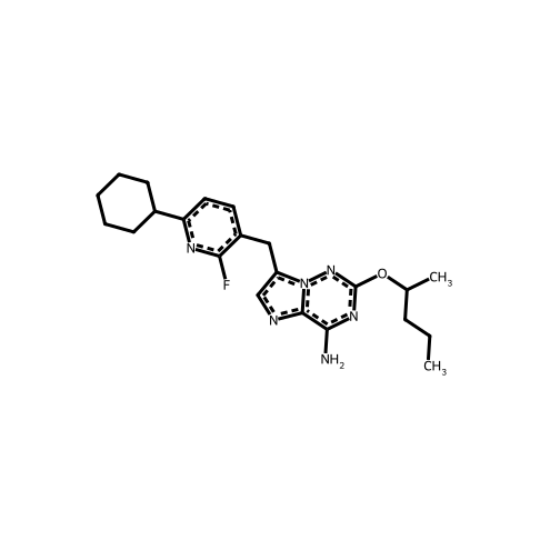 CCCC(C)Oc1nc(N)c2ncc(Cc3ccc(C4CCCCC4)nc3F)n2n1